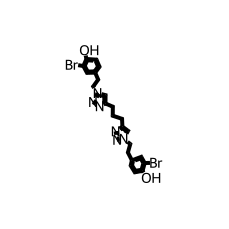 Oc1ccc(CCn2cc(CCCc3cn(CCc4ccc(O)c(Br)c4)nn3)nn2)cc1Br